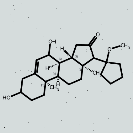 COC1(C2C(=O)C[C@H]3[C@@H]4C(O)C=C5CC(O)CC[C@]5(C)[C@@H]4CC[C@]23C)CCCC1